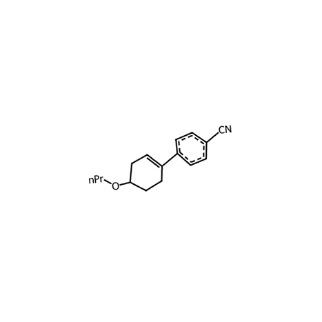 CCCOC1CC=C(c2ccc(C#N)cc2)CC1